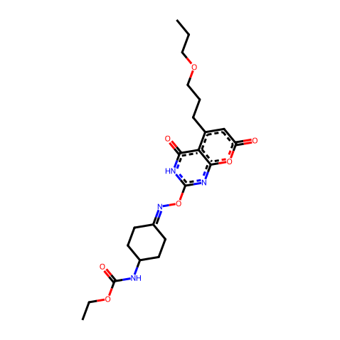 CCCOCCCc1cc(=O)oc2nc(ON=C3CCC(NC(=O)OCC)CC3)[nH]c(=O)c12